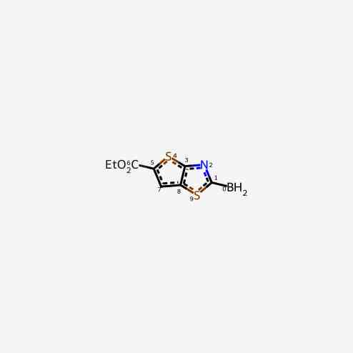 Bc1nc2sc(C(=O)OCC)cc2s1